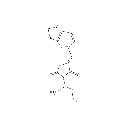 O=C(O)CC(C(=O)O)N1C(=O)C(=Cc2ccc3c(c2)OCO3)SC1=S